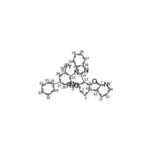 Cc1ccc2c(oc3ncccc32)c1-c1nc2ccccc2n1-c1c(C(C)C)cc(-c2ccccc2)cc1C(C)C